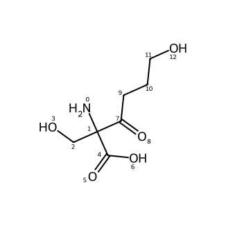 NC(CO)(C(=O)O)C(=O)CCCO